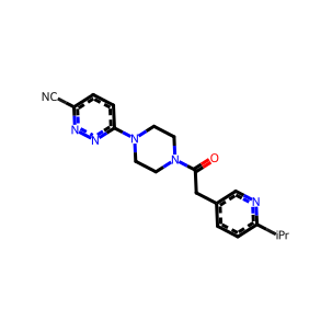 CC(C)c1ccc(CC(=O)N2CCN(c3ccc(C#N)nn3)CC2)cn1